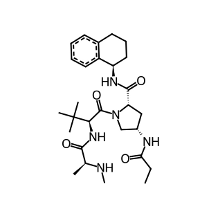 CCC(=O)N[C@H]1C[C@@H](C(=O)N[C@@H]2CCCc3ccccc32)N(C(=O)[C@@H](NC(=O)[C@H](C)NC)C(C)(C)C)C1